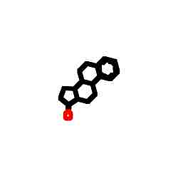 O=C1CCC2C1CCC1c3ccccc3CCC12